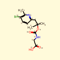 Cc1nc(CC(C)(C)OC(=O)NCC(=O)O)ccc1Br